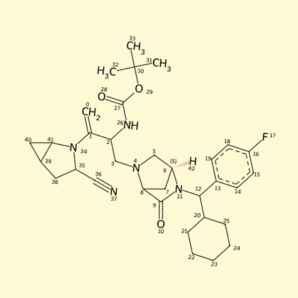 C=C(C(CN1C[C@@H]2CC1C(=O)N2C(c1ccc(F)cc1)C1CCCCC1)NC(=O)OC(C)(C)C)N1C(C#N)CC2CC21